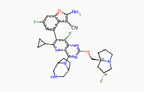 N#Cc1c(N)oc2cc(F)cc(-c3c(C4CC4)nc4c(N5C6CCC5CNC6)nc(OC[C@@]56CCCN5C[C@H](F)C6)nc4c3F)c12